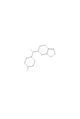 CC1CCC(C(C)C2CCC3CCCC3C2)CC1